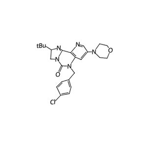 CC(C)(C)C1CN2C(=O)N(Cc3ccc(Cl)cc3)c3cc(N4CCOCC4)cnc3C2=N1